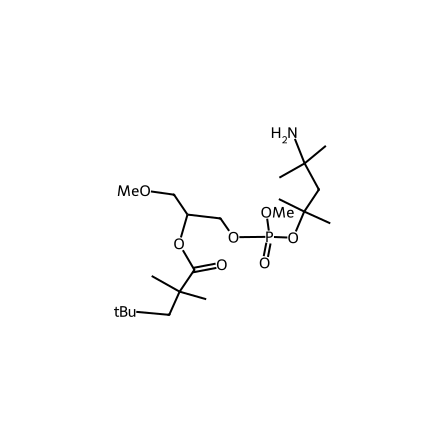 COCC(COP(=O)(OC)OC(C)(C)CC(C)(C)N)OC(=O)C(C)(C)CC(C)(C)C